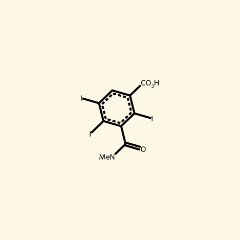 CNC(=O)c1c(I)c(I)cc(C(=O)O)c1I